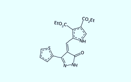 CCOC(=O)c1c[nH]c(C=C2C(=O)NN=C2c2cccs2)c1C(=O)OCC